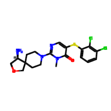 Cn1c(N2CCC3(CC2)COC[C@H]3N)ncc(Sc2cccc(Cl)c2Cl)c1=O